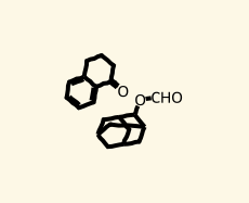 O=C1CCCc2ccccc21.O=COC1C2CC3CC(C2)CC1C3